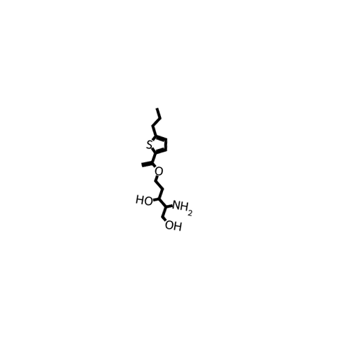 C=C(OCCC(O)C(N)CO)c1ccc(CCC)s1